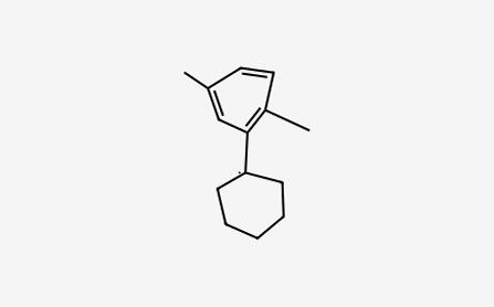 Cc1ccc(C)c([C]2CCCCC2)c1